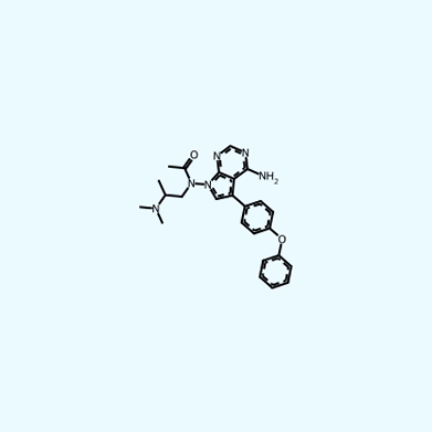 CC(=O)N(CC(C)N(C)C)n1cc(-c2ccc(Oc3ccccc3)cc2)c2c(N)ncnc21